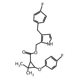 CC1(C)C(Oc2ccc(F)cc2)C1C(=O)OCc1[nH]ccc1Cc1ccc(F)cc1